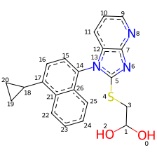 OC(O)CSc1nc2ncccc2n1-c1ccc(C2CC2)c2ccccc12